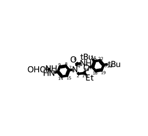 CCC(CN(C(N)=O)c1ccc(NNC=O)cc1)Oc1ccc(C(C)(C)C)cc1C(C)(C)C